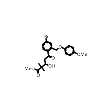 COC(=O)C(C)(C)C(O)CC(=O)c1ccc(Br)cc1COc1ccc(OC)cc1